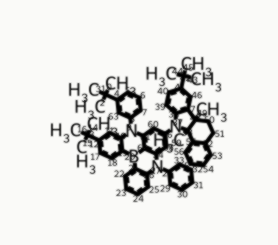 CC(C)(C)c1cccc(N2c3cc(C(C)(C)C)ccc3B3c4ccccc4N(c4ccccc4)c4cc(N5c6ccc(C(C)(C)C)cc6C6(C)CCc7ccccc7C56C)cc2c43)c1